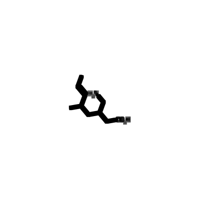 CC=CC(C)CC(CN)CC(=O)O